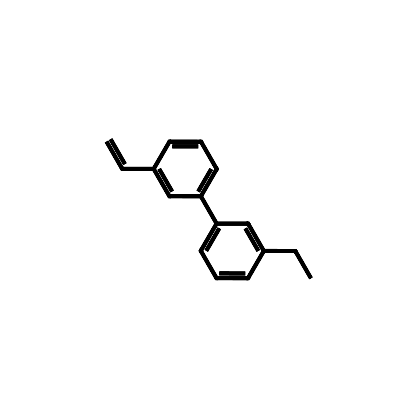 C=Cc1cccc(-c2cccc(CC)c2)c1